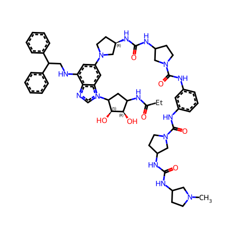 CCC(=O)NC1CC(n2cnc3c(NCC(c4ccccc4)c4ccccc4)cc(N4CC[C@@H](NC(=O)NC5CCN(C(=O)Nc6cccc(NC(=O)N7CCC(NC(=O)NC8CCN(C)C8)C7)c6)C5)C4)cc32)[C@H](O)[C@@H]1O